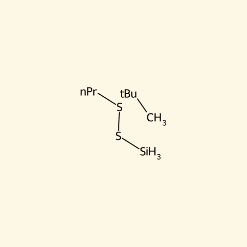 CC(C)(C)C.CCCSS[SiH3]